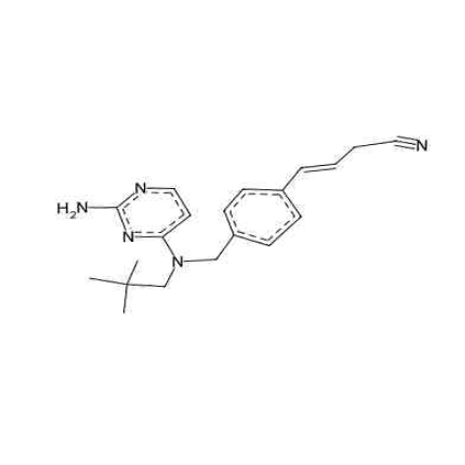 CC(C)(C)CN(Cc1ccc(/C=C/CC#N)cc1)c1ccnc(N)n1